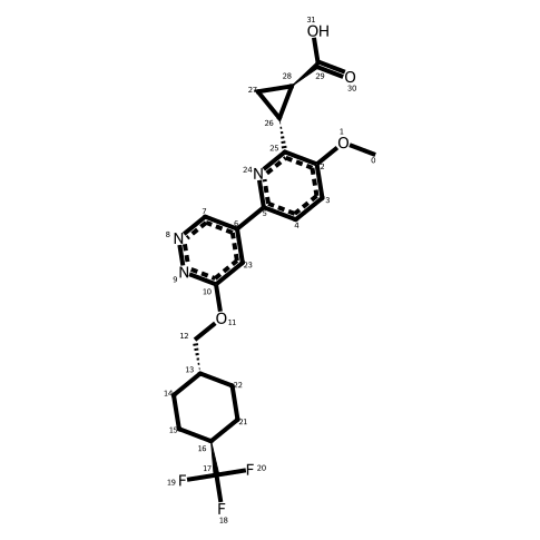 COc1ccc(-c2cnnc(OC[C@H]3CC[C@H](C(F)(F)F)CC3)c2)nc1[C@@H]1C[C@H]1C(=O)O